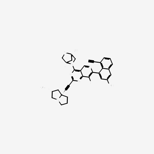 C#Cc1cccc2cc(O)cc(-c3ncc4c(N5C[C@H]6C[C@@H]5CN6)nc(C#C[C@@]56CCCN5C[C@H](OC)C6)nc4c3F)c12